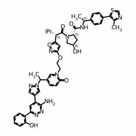 Cc1ncsc1-c1ccc([C@H](C)NC(=O)[C@@H]2C[C@@H](O)CN2C(=O)[C@H](c2cc(OCCn3cc(C(C)n4cc(-c5cc(-c6ccccc6O)nnc5N)cn4)ccc3=O)no2)C(C)C)cc1